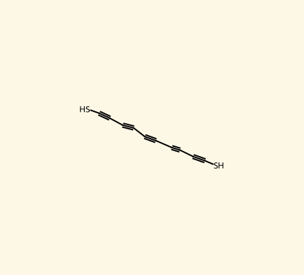 SC#CC#CC#CC#CC#CS